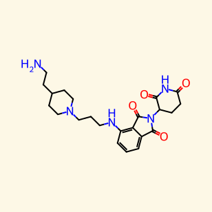 NCCC1CCN(CCCNc2cccc3c2C(=O)N(C2CCC(=O)NC2=O)C3=O)CC1